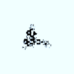 COC(=O)c1ccc(F)c(-c2nc3c(cc2C2CC2)c(N2CCN(C(=O)OC(C)(C)C)CC2C)nc(=O)n3-c2c(C)ccnc2C(C)C)c1